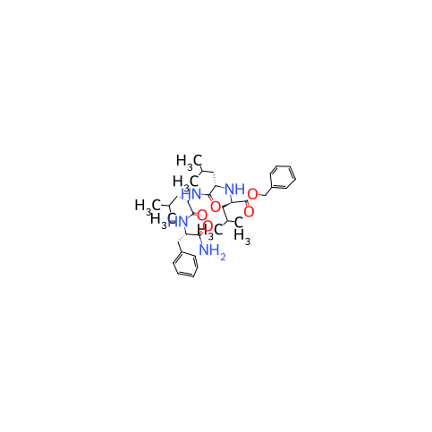 CC(C)C[C@H](NC(=O)[C@H](CC(C)C)N[C@H](CC(C)C)C(=O)OCc1ccccc1)C(=O)N[C@@H](Cc1ccccc1)C(N)=O